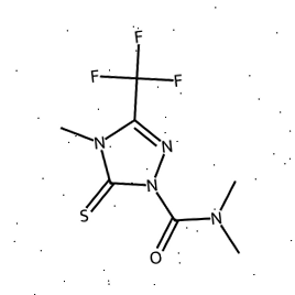 CN(C)C(=O)n1nc(C(F)(F)F)n(C)c1=S